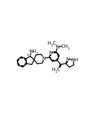 C=C(C1=NNCC1)c1cc(N(C)C)nc(N2CCC3(CC2)Cc2ccccc2[C@H]3N)c1